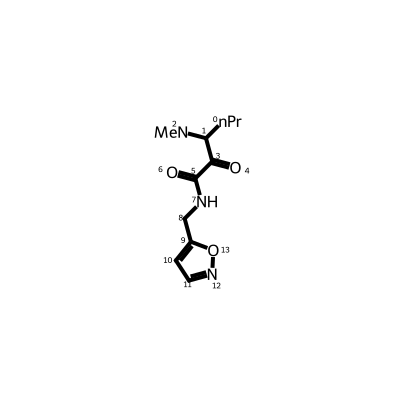 CCCC(NC)C(=O)C(=O)NCc1ccno1